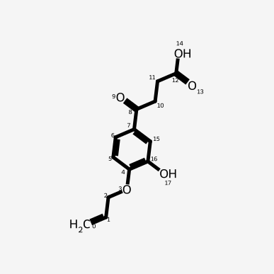 C=CCOc1ccc(C(=O)CCC(=O)O)cc1O